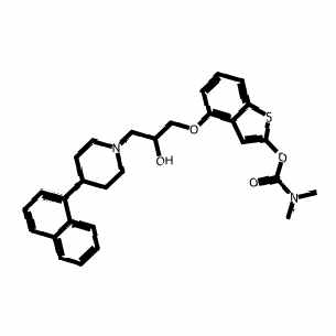 CN(C)C(=O)Oc1cc2c(OCC(O)CN3CCC(c4cccc5ccccc45)CC3)cccc2s1